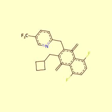 C=c1c(Cc2ccc(C(F)(F)F)cn2)c(CC2CCC2)c(=C)c2c(F)ccc(F)c12